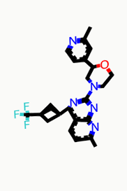 Cc1cc(C2CN(c3nc(C45CC(C(F)(F)F)(C4)C5)c4ccc(C)nc4n3)CCO2)ccn1